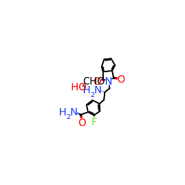 NC(=O)c1ccc(C[C@H](N)CN2C(=O)c3ccccc3C2=O)cc1F.O=CO